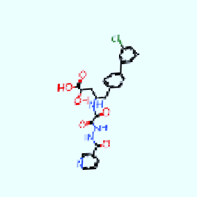 O=C(NNC(=O)c1cccnc1)C(=O)NC(Cc1ccc(-c2cccc(Cl)c2)cc1)C[C@@H](O)C(=O)O